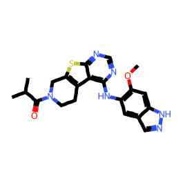 COc1cc2[nH]ncc2cc1Nc1ncnc2sc3c(c12)CCN(C(=O)C(C)C)C3